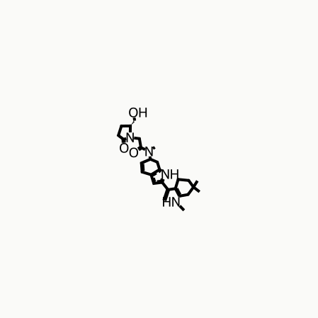 C=C(C1=C(NC)CC(C)(C)CC1)c1cc2c([nH]1)CC(N(C)C(=O)CN1C(=O)CC[C@@H]1CO)C=C2